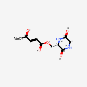 COC(=O)/C=C/C(=O)OC[C@@H]1NC(=O)CNC1=O